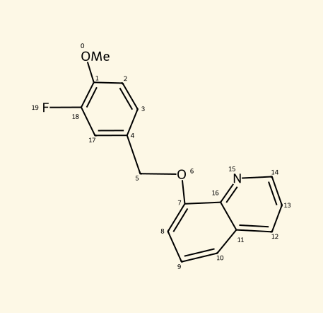 COc1ccc(COc2cccc3cccnc23)cc1F